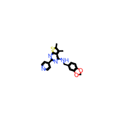 Cc1sc2nc(-c3ccncc3)nc(NCc3ccc4c(c3)OCO4)c2c1C